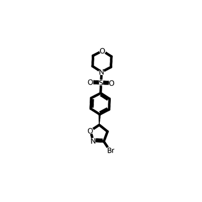 O=S(=O)(c1ccc([C@H]2CC(Br)=NO2)cc1)N1CCOCC1